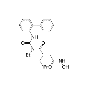 CCN(C(=O)Nc1ccccc1-c1ccccc1)C(=O)C(CC(=O)NO)CC(C)C